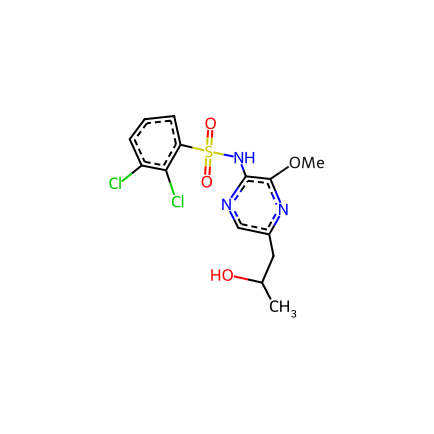 COc1nc(CC(C)O)cnc1NS(=O)(=O)c1cccc(Cl)c1Cl